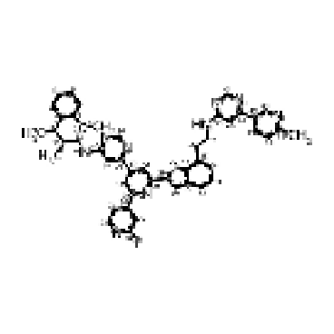 COc1ccccc1C(C)[C@H](C)CNc1cc(-c2cc(-c3ccnc(F)c3)nc(-c3cc4cccc(CCNc5cc(-c6ccc(C)nc6)ncn5)c4o3)c2)ncn1